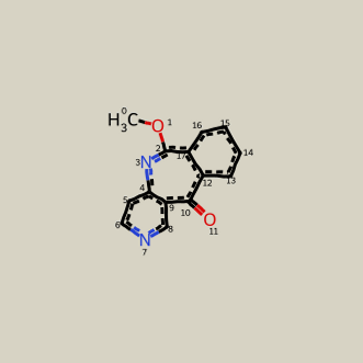 COc1nc2ccncc2c(=O)c2ccccc12